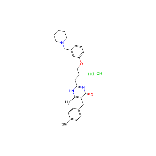 Cc1[nH]c(CCCOc2cccc(CN3CCCCC3)c2)nc(=O)c1Cc1ccc(C(C)(C)C)cc1.Cl.Cl